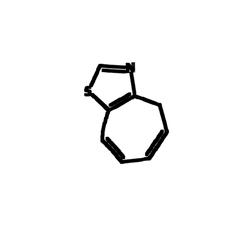 C1=CCc2ncsc2C=C1